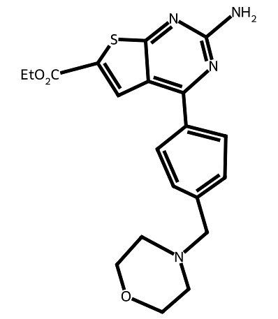 CCOC(=O)c1cc2c(-c3ccc(CN4CCOCC4)cc3)nc(N)nc2s1